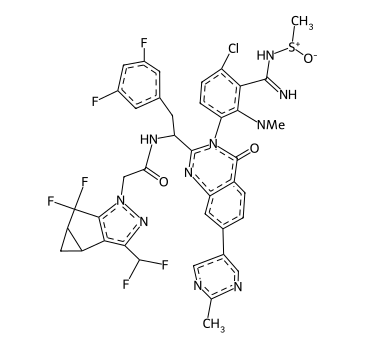 CNc1c(-n2c(C(Cc3cc(F)cc(F)c3)NC(=O)Cn3nc(C(F)F)c4c3C(F)(F)C3CC43)nc3cc(-c4cnc(C)nc4)ccc3c2=O)ccc(Cl)c1C(=N)N[S+](C)[O-]